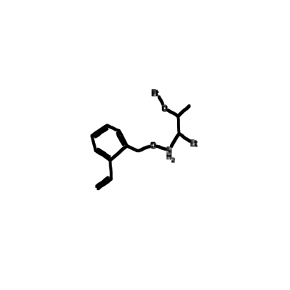 C=Cc1ccccc1CO[SiH2]C(CC)C(C)OCC